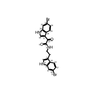 O=C(NCCc1c[nH]c2cc(Br)ccc12)C(=O)c1c[nH]c2cc(Br)ccc12